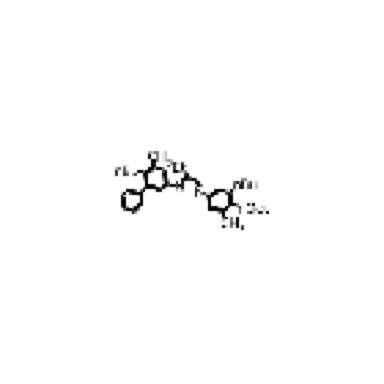 CCCCCCCCc1c(C)cc(N=CC(CC)=Nc2cc(C)c(CCCC)c(-c3ccccc3)c2)cc1CCCC